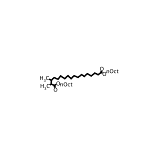 CCCCCCCCOC(=O)CCCCCCCCCCCCCCC(C)C(C)C(=O)OCCCCCCCC